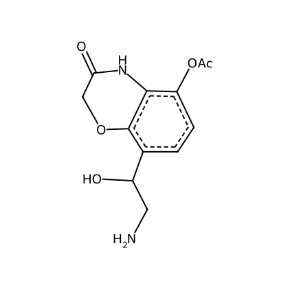 CC(=O)Oc1ccc(C(O)CN)c2c1NC(=O)CO2